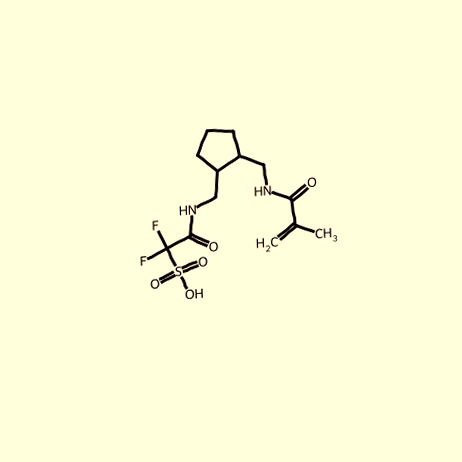 C=C(C)C(=O)NCC1CCCC1CNC(=O)C(F)(F)S(=O)(=O)O